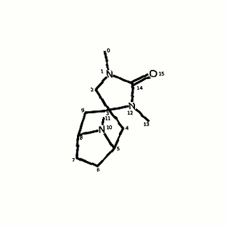 CN1CC2(CC3CCC(C2)N3C)N(C)C1=O